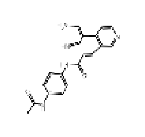 CC(=O)Nc1ccc(NC(=O)/C=C/c2cnccc2/C(C=N)=C/N)cc1